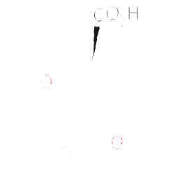 O=C(O)[C@H]1COCCO1